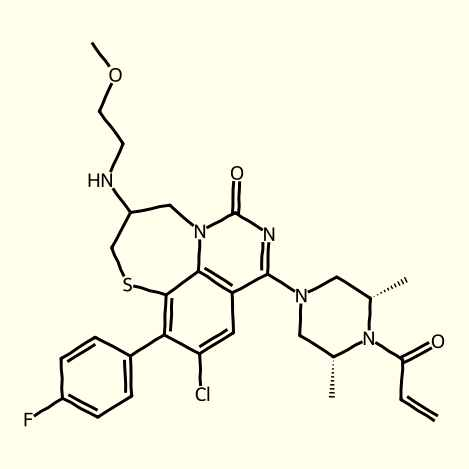 C=CC(=O)N1[C@H](C)CN(c2nc(=O)n3c4c(c(-c5ccc(F)cc5)c(Cl)cc24)SCC(NCCOC)C3)C[C@@H]1C